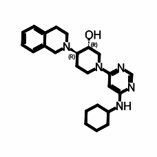 O[C@@H]1CN(c2cc(NC3CCCCC3)ncn2)CC[C@H]1N1CCc2ccccc2C1